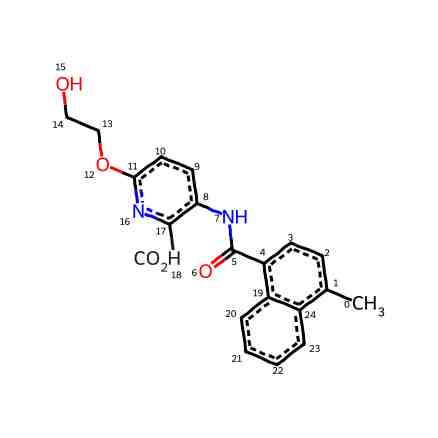 Cc1ccc(C(=O)Nc2ccc(OCCO)nc2C(=O)O)c2ccccc12